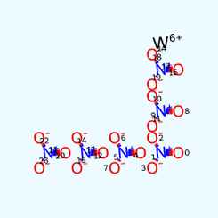 O=[N+]([O-])[O-].O=[N+]([O-])[O-].O=[N+]([O-])[O-].O=[N+]([O-])[O-].O=[N+]([O-])[O-].O=[N+]([O-])[O-].[W+6]